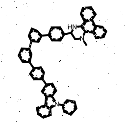 CN1CC(c2ccc(-c3cccc(-c4cccc(-c5ccc(-c6ccc7c(c6)c6ccccc6n7-c6ccccc6)cc5)c4)c3)cc2)Nc2c1c1ccccc1c1ccccc21